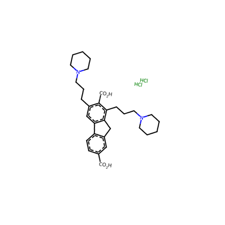 Cl.Cl.O=C(O)c1ccc2c(c1)Cc1c-2cc(CCCN2CCCCC2)c(C(=O)O)c1CCCN1CCCCC1